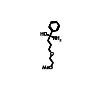 COCCOCCCC(N)(O)c1ccccc1